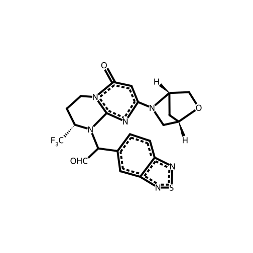 O=CC(c1ccc2nsnc2c1)N1c2nc(N3C[C@@H]4C[C@H]3CO4)cc(=O)n2CC[C@H]1C(F)(F)F